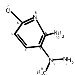 CN(N)c1ccc(Cl)nc1N